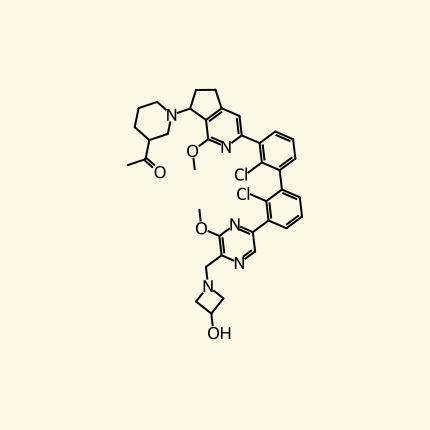 COc1nc(-c2cccc(-c3cccc(-c4cc5c(c(OC)n4)C(N4CCCC(C(C)=O)C4)CC5)c3Cl)c2Cl)cnc1CN1CC(O)C1